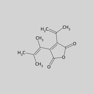 C=C(C)C1=C(C(C)=C(C)C)C(=O)OC1=O